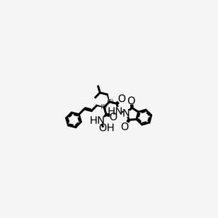 CC(C)C[C@@H](C(=O)NN1C(=O)c2ccccc2C1=O)[C@H](CC=Cc1ccccc1)C(=O)NO